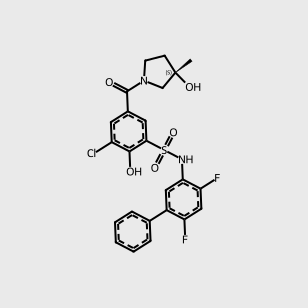 C[C@]1(O)CCN(C(=O)c2cc(Cl)c(O)c(S(=O)(=O)Nc3cc(-c4ccccc4)c(F)cc3F)c2)C1